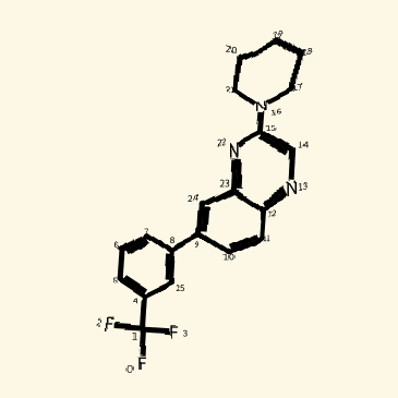 FC(F)(F)c1cccc(-c2ccc3ncc(N4CCCCC4)nc3c2)c1